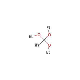 CCOC(OCC)(OCC)C(C)C